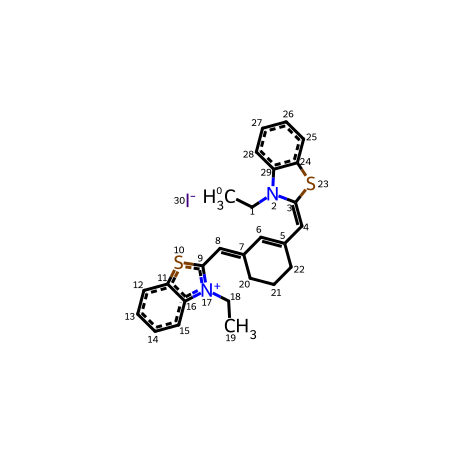 CCN1C(=CC2=CC(=Cc3sc4ccccc4[n+]3CC)CCC2)Sc2ccccc21.[I-]